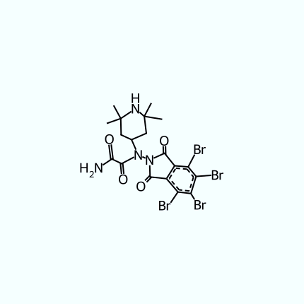 CC1(C)CC(N(C(=O)C(N)=O)N2C(=O)c3c(Br)c(Br)c(Br)c(Br)c3C2=O)CC(C)(C)N1